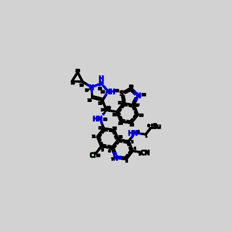 CC(C)(C)CNc1c(C#N)cnc2c(Cl)cc(N[C@H](C3=CN(C4CC4)NN3)c3cccc4ncsc34)cc12